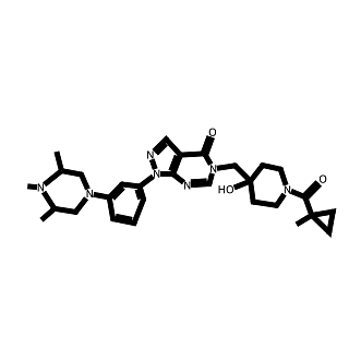 CC1CN(c2cccc(-n3ncc4c(=O)n(CC5(O)CCN(C(=O)C6(C)CC6)CC5)cnc43)c2)CC(C)N1C